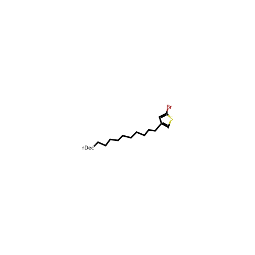 CCCCCCCCCCCCCCCCCCCCc1[c]sc(Br)c1